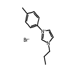 CCCn1cc[n+](-c2ccc(C)cc2)c1.[Br-]